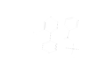 O=C(O)c1ccccc1-c1ccccc1.O=C(OC(F)(F)C(F)(F)F)c1ccccc1